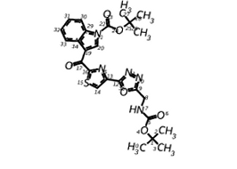 CC(C)(C)OC(=O)NCc1nnc(-c2csc(C(=O)c3cn(C(=O)OC(C)(C)C)c4ccccc34)n2)o1